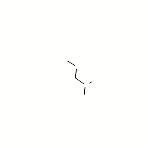 [CH2]SC[S+](C)[O-]